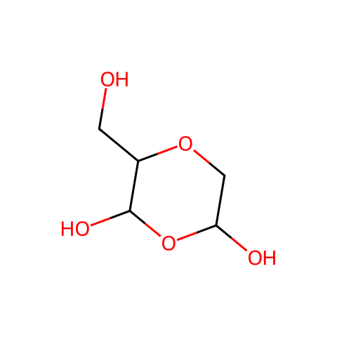 OCC1OCC(O)OC1O